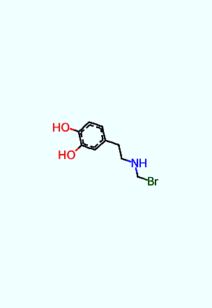 Oc1ccc(CCNCBr)cc1O